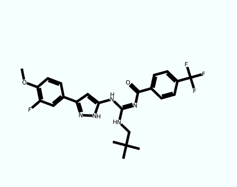 COc1ccc(-c2cc(N/C(=N\C(=O)c3ccc(C(F)(F)F)cc3)NCC(C)(C)C)[nH]n2)cc1F